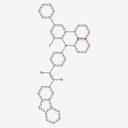 [2H]/C(=C(/[2H])c1ccc2sc3ccccc3c2c1)c1ccc(N(c2ccccc2)c2c(F)cc(-c3ccccc3)cc2-c2ccccc2)cc1